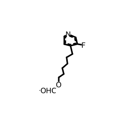 O=[C]OCCCCCCc1ccncc1F